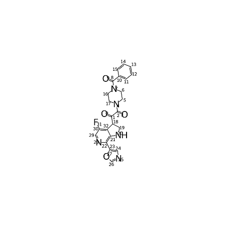 O=C(C(=O)N1CCN(C(=O)c2ccccc2)CC1)C1CNc2c(-c3cnco3)ncc(F)c21